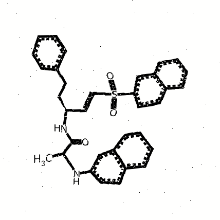 CC(Nc1ccc2ccccc2c1)C(=O)N[C@H](/C=C/S(=O)(=O)c1ccc2ccccc2c1)CCc1ccccc1